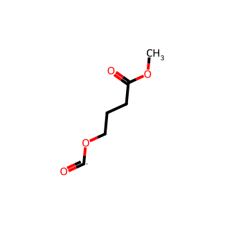 COC(=O)CCCO[C]=O